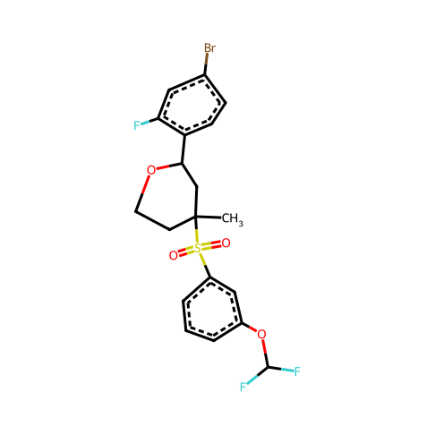 CC1(S(=O)(=O)c2cccc(OC(F)F)c2)CCOC(c2ccc(Br)cc2F)C1